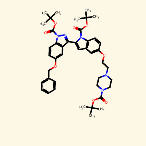 CC(C)(C)OC(=O)N1CCN(CCOc2ccc3c(c2)cc(-c2nn(C(=O)OC(C)(C)C)c4ccc(OCc5ccccc5)cc24)n3C(=O)OC(C)(C)C)CC1